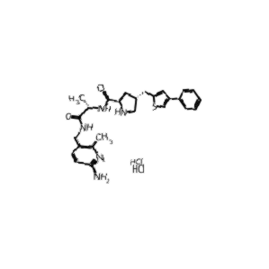 Cc1nc(N)ccc1CNC(=O)[C@H](C)NC(=O)[C@H]1C[C@H](Cc2cc(-c3ccccc3)cs2)CN1.Cl.Cl